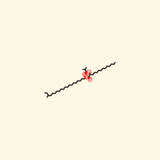 CCCCCCCCCCCCC(OC(=O)C(C)C)C(=O)OCCCCCCCCCCCCCCCCCC(C)CC